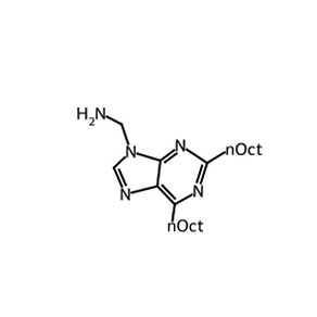 CCCCCCCCc1nc(CCCCCCCC)c2ncn(CN)c2n1